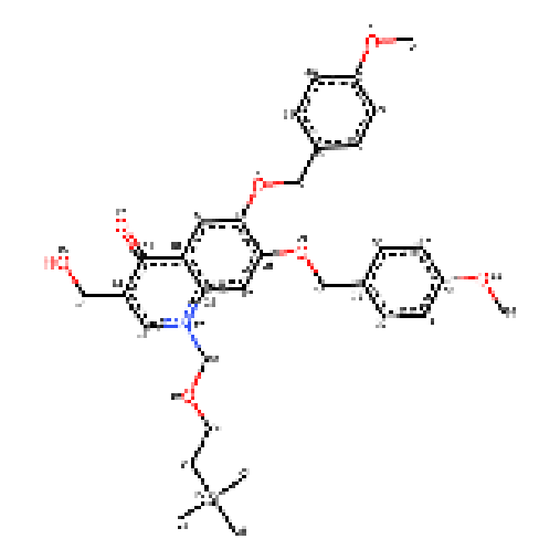 COc1ccc(COc2cc3c(=O)c(CO)cn(COCC[Si](C)(C)C)c3cc2OCc2ccc(OC)cc2)cc1